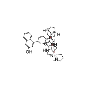 CN1CCC[C@H]1COc1nc(N2[C@@H]3CC[C@H]2CN(C(=O)Nc2cnc[nH]2)C3)c2ccc(-c3cc(O)cc4ccccc34)cc2n1